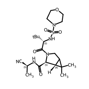 C[C@@H](C#N)NC(=O)[C@@H]1[C@@H]2C(CN1C(=O)[C@@H](NS(=O)(=O)N1CCOCC1)C(C)(C)C)C2(C)C